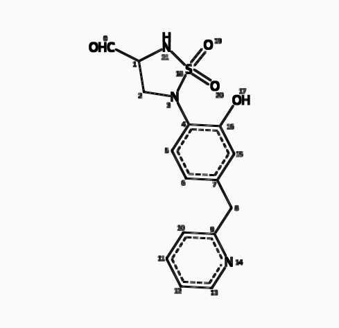 O=CC1CN(c2ccc(Cc3ccccn3)cc2O)S(=O)(=O)N1